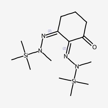 CN(/N=C1/CCCC(=O)/C1=N\N(C)[Si](C)(C)C)[Si](C)(C)C